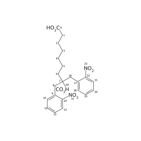 O=C(O)CCCCCCC(Cc1ccccc1[N+](=O)[O-])(Cc1ccccc1[N+](=O)[O-])C(=O)O